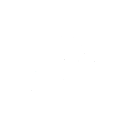 Cc1c(C(C)C)cc(-c2ccc(CC(C)(C)C(F)(F)F)cc2)cc1C(C)C